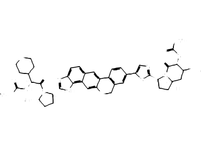 CCC[C@H]1CC[C@@H](c2nc3ccc4cc5c(cc4c3[nH]2)OCc2cc(-c3cnc([C@@H]4CC[C@@H]6CC(C)[C@H](NC(=O)OC)C(=O)N64)[nH]3)ccc2-5)N1C(=O)[C@@H](NC(=O)OC)C1CCOCC1